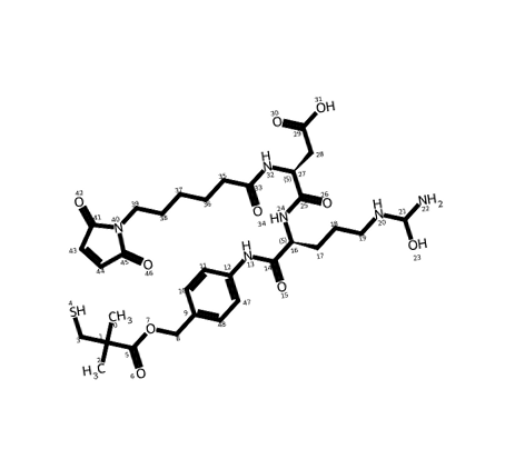 CC(C)(CS)C(=O)OCc1ccc(NC(=O)[C@H](CCCNC(N)O)NC(=O)[C@H](CC(=O)O)NC(=O)CCCCCN2C(=O)C=CC2=O)cc1